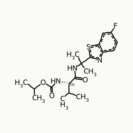 CC(C)OC(=O)N[C@H](C(=O)NC(C)(C)c1nc2ccc(F)cc2s1)C(C)C